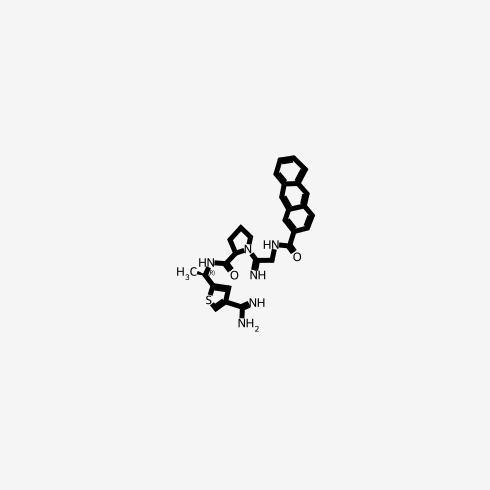 C[C@@H](NC(=O)C1CCCN1C(=N)CNC(=O)c1ccc2cc3ccccc3cc2c1)c1cc(C(=N)N)cs1